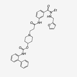 CCN(NCc1ccco1)C(=O)c1cccc(NC(=O)CCN2CCC(OC(=O)Nc3ccccc3-c3ccccc3)CC2)c1